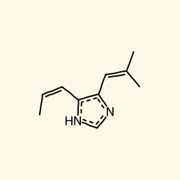 C/C=C\c1[nH]cnc1C=C(C)C